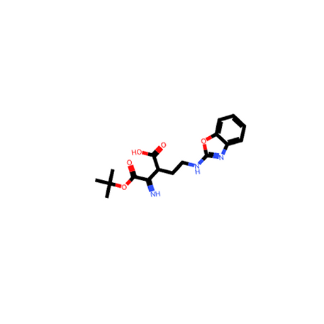 CC(C)(C)OC(=O)C(=N)C(CCNc1nc2ccccc2o1)C(=O)O